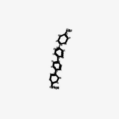 CCCCCCCC1CC=C(c2ccc(-c3ccc([C@H]4CC[C@H](CCCC)CC4)cc3)cc2)CC1